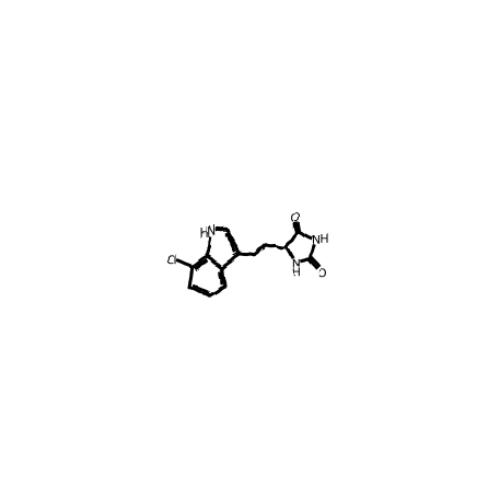 O=C1NC(=O)C(CCc2c[nH]c3c(Cl)cccc23)N1